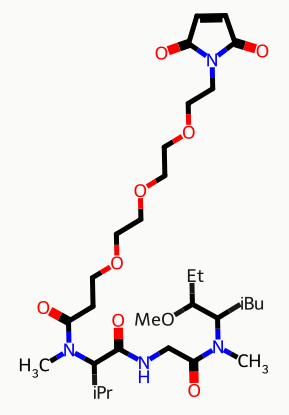 CCC(C)C(C(CC)OC)N(C)C(=O)CNC(=O)C(C(C)C)N(C)C(=O)CCOCCOCCOCCN1C(=O)C=CC1=O